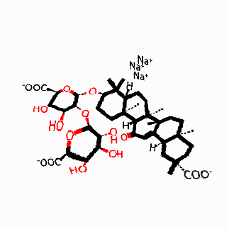 CC1(C)[C@@H](O[C@H]2O[C@H](C(=O)[O-])[C@@H](O)[C@H](O)[C@H]2O[C@@H]2O[C@H](C(=O)[O-])[C@@H](O)[C@H](O)[C@H]2O)CC[C@]2(C)[C@H]3C(=O)C=C4[C@@H]5C[C@@](C)(C(=O)[O-])CC[C@]5(C)CC[C@@]4(C)[C@]3(C)CC[C@@H]12.[Na+].[Na+].[Na+]